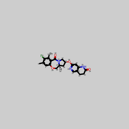 Cc1cc2c(c(C(C)C)c1F)C(=O)N1C[C@@H](Oc3cc4c(cn3)CCC(=O)N4)C[C@@H]1CO2